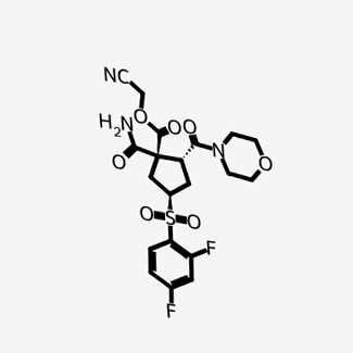 N#CCOC(=O)[C@]1(C(N)=O)C[C@H](S(=O)(=O)c2ccc(F)cc2F)C[C@H]1C(=O)N1CCOCC1